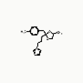 Cc1ccc(CC2(CCCn3ccnc3)OCC(C)O2)cc1